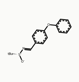 CC(C)(C)[S@@+]([O-])N=Cc1ccc(Oc2ccccc2)cc1